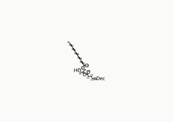 CC#CC#CC#CC#CC#CC(=O)OC[C@H](CO)OC(=O)CCCCCCCCCCCCC